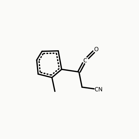 Cc1ccccc1C(=C=O)CC#N